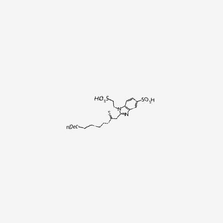 CCCCCCCCCCCCCCCC(=S)Cc1nc2cc(S(=O)(=O)O)ccc2n1CCS(=O)(=O)O